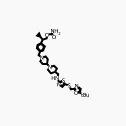 CC(C)(C)c1cnc(CSc2cnc(NCC3CCN(C4CCN(Cc5ccc(C(COC(N)=O)C6CC6)cc5)CC4)CC3)s2)o1